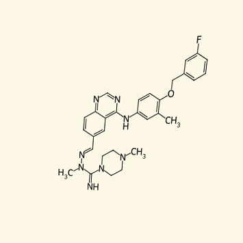 Cc1cc(Nc2ncnc3ccc(/C=N/N(C)C(=N)N4CCN(C)CC4)cc23)ccc1OCc1cccc(F)c1